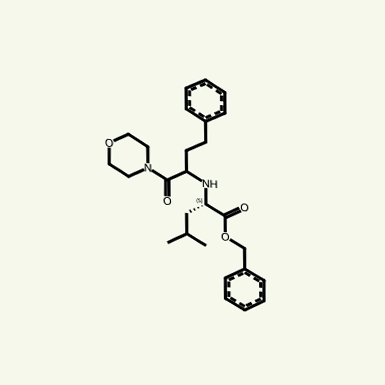 CC(C)C[C@H](NC(CCc1ccccc1)C(=O)N1CCOCC1)C(=O)OCc1ccccc1